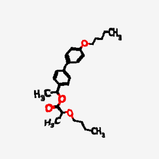 CCCCCOc1ccc(-c2ccc(C(C)OC(=O)C(C)OCCCC)cc2)cc1